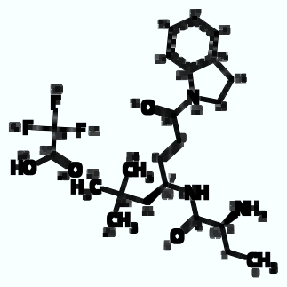 CC[C@H](N)C(=O)N[C@H](C=CC(=O)N1CCc2ccccc21)CC(C)(C)C.O=C(O)C(F)(F)F